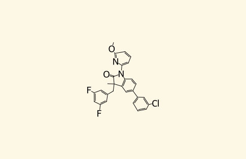 COc1cccc(N2C(=O)C(C)(Cc3cc(F)cc(F)c3)c3cc(-c4cccc(Cl)c4)ccc32)n1